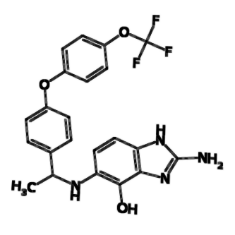 CC(Nc1ccc2[nH]c(N)nc2c1O)c1ccc(Oc2ccc(OC(F)(F)F)cc2)cc1